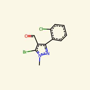 Cn1nc(-c2ccccc2Cl)c(C=O)c1Br